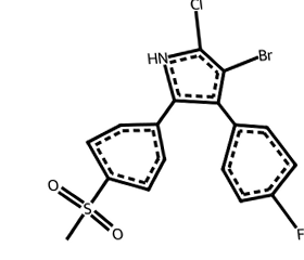 CS(=O)(=O)c1ccc(-c2[nH]c(Cl)c(Br)c2-c2ccc(F)cc2)cc1